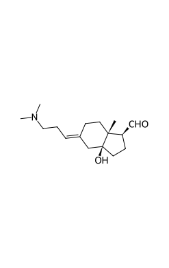 CN(C)CC/C=C1\CC[C@]2(C)[C@@H](C=O)CC[C@]2(O)C1